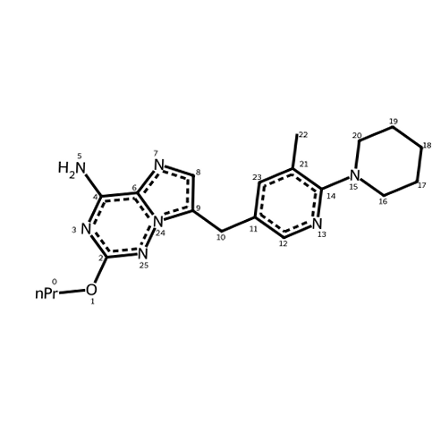 CCCOc1nc(N)c2ncc(Cc3cnc(N4CCCCC4)c(C)c3)n2n1